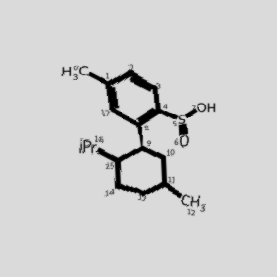 Cc1ccc(S(=O)O)c([C@H]2CC(C)CCC2C(C)C)c1